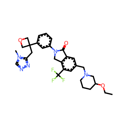 CCOC1CCCN(Cc2cc3c(c(C(F)(F)F)c2)CN(c2cccc(C4(Cc5nncn5C)COC4)c2)C3=O)C1